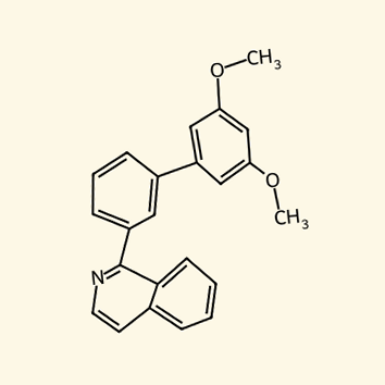 COc1cc(OC)cc(-c2cccc(-c3nccc4ccccc34)c2)c1